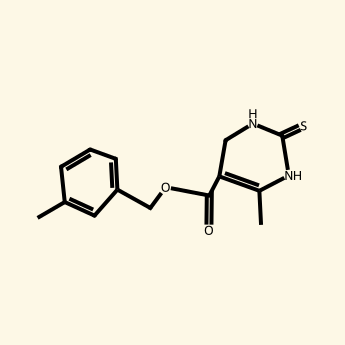 CC1=C(C(=O)OCc2cccc(C)c2)CNC(=S)N1